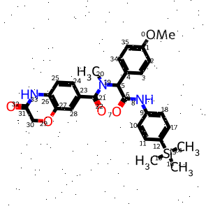 COc1ccc(C(C(=O)Nc2ccc([Si](C)(C)C)cc2)N(C)C(=O)c2ccc3c(c2)OCC(=O)N3)cc1